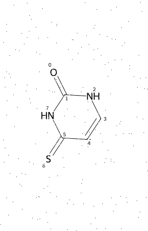 O=c1[nH]c[c]c(=S)[nH]1